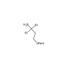 BC(CC)(CC)CCCCCCC